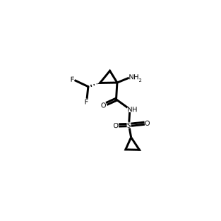 NC1(C(=O)NS(=O)(=O)C2CC2)C[C@H]1C(F)F